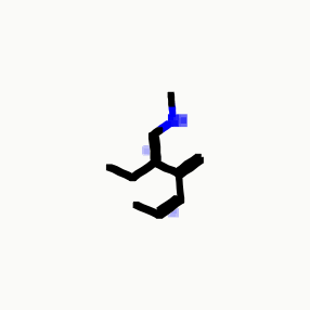 C=C(/C=C\C)/C(=C\NC)CC